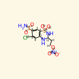 NS(=O)(=O)c1cc2c(cc1Cl)NC(CCO[N+](=O)[O-])NS2(=O)=O